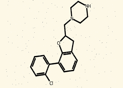 Clc1ccccc1-c1cccc2c1OC(CN1CCNCC1)C2